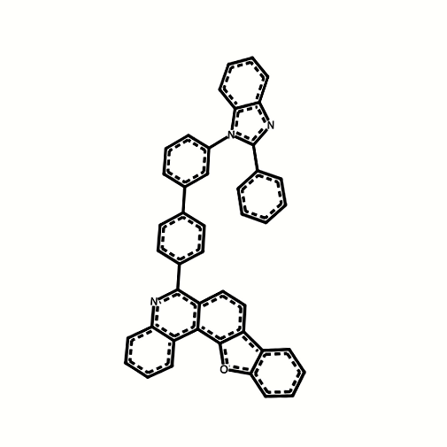 c1ccc(-c2nc3ccccc3n2-c2cccc(-c3ccc(-c4nc5ccccc5c5c4ccc4c6ccccc6oc45)cc3)c2)cc1